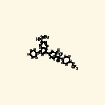 CCCCNc1ncc2c(-c3ccc(S(=O)(=O)N4CCN(CC(F)(F)F)CC4)c(F)c3)cn(C3CCCCC3)c2n1